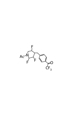 CC(=O)N1CC(F)C(Cc2ccc(C(=O)C(F)(F)F)cc2)C(F)C1F